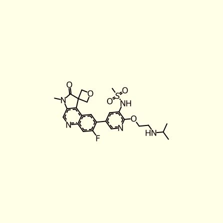 CC(C)NCCOc1ncc(-c2cc3c4c(cnc3cc2F)N(C)C(=O)C42COC2)cc1NS(C)(=O)=O